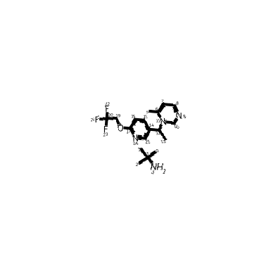 CC(C)(C)N.CC1=CC=NCN1C(C)c1ccc(OCC(F)(F)F)nc1